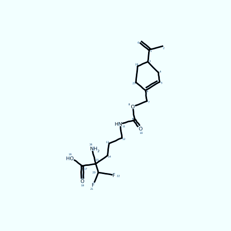 C=C(C)C1CC=C(COC(=O)NCCCC(N)(C(=O)O)C(F)F)CC1